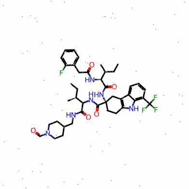 CCC(C)[C@H](NC(=O)Cc1ccccc1F)C(=O)N[C@]1(C(=O)NC(C(=O)NCC2CCN(C=O)CC2)[C@@H](C)CC)CCc2[nH]c3c(C(F)(F)F)cccc3c2C1